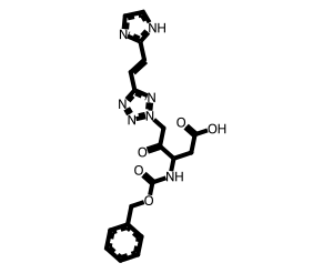 O=C(O)CC(NC(=O)OCc1ccccc1)C(=O)Cn1nnc(C=Cc2ncc[nH]2)n1